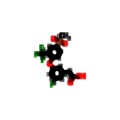 CS(=O)(=O)c1ccc(Oc2cc(F)cc(CC(=O)O)c2)c(C(F)(F)F)c1